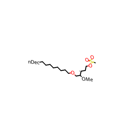 CCCCCCCCCCCCCCCCCCOCC([CH]CCOS(C)(=O)=O)OC